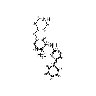 Cc1ncc(CC2CCNCC2)cc1Nc1ncn(-c2ccccc2)n1